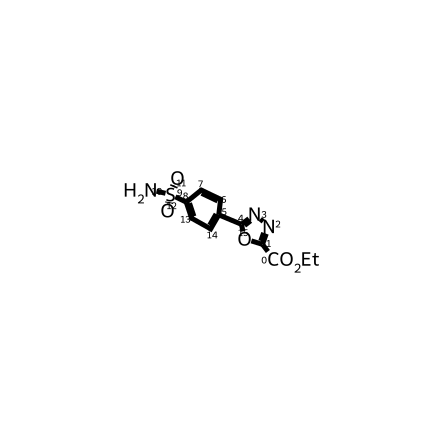 CCOC(=O)c1nnc(-c2ccc(S(N)(=O)=O)cc2)o1